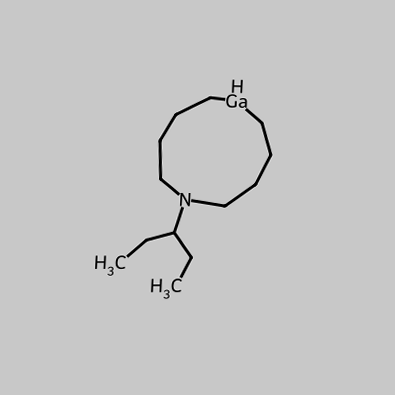 CCC(CC)N1CCC[CH2][GaH][CH2]CCC1